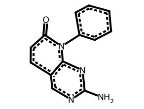 Nc1ncc2ccc(=O)n(-c3ccccc3)c2n1